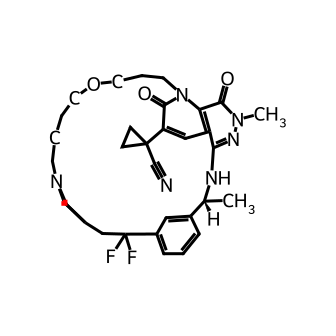 C[C@H]1Nc2nn(C)c(=O)c3c2cc(C2(C#N)CC2)c(=O)n3CCCOCCCCN2CC(C2)CC(F)(F)c2cccc1c2